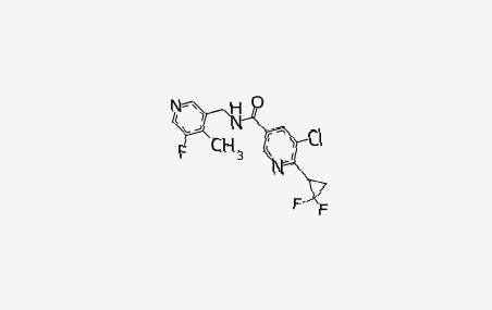 Cc1c(F)cncc1CNC(=O)c1cnc(C2CC2(F)F)c(Cl)c1